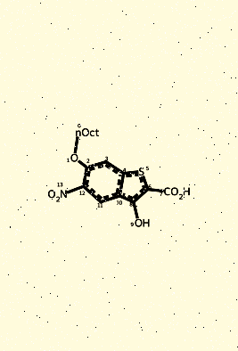 CCCCCCCCOc1cc2sc(C(=O)O)c(O)c2cc1[N+](=O)[O-]